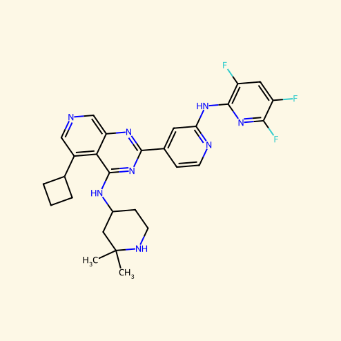 CC1(C)CC(Nc2nc(-c3ccnc(Nc4nc(F)c(F)cc4F)c3)nc3cncc(C4CCC4)c23)CCN1